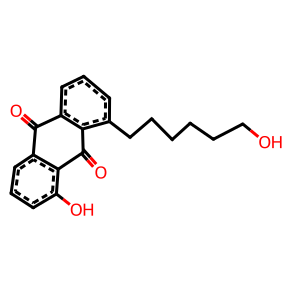 O=C1c2cccc(O)c2C(=O)c2c(CCCCCCO)cccc21